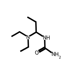 CCC(NC(N)=O)N(CC)CC